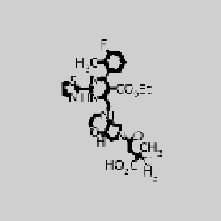 CCOC(=O)C1=C(CN2CCO[C@H]3CN(C(=O)CC(C)(C)C(=O)O)C[C@H]32)NC(c2nccs2)=N[C@H]1c1cccc(F)c1C